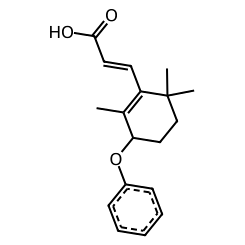 CC1=C(C=CC(=O)O)C(C)(C)CCC1Oc1ccccc1